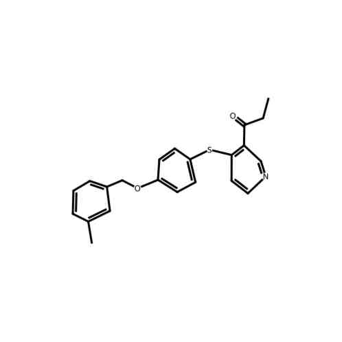 CCC(=O)c1cnccc1Sc1ccc(OCc2cccc(C)c2)cc1